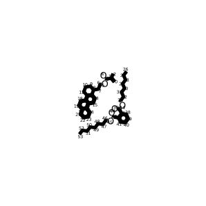 C=C(C)C(=O)OCCC1CCCc2c1ccc1c2ccc2ccccc21.CCCCCCCCOC(=O)c1ccccc1C(=O)OCCCCCCCC